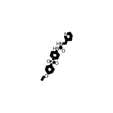 CCOc1ccc(S(=O)(=O)c2ccc(NC(=O)NCc3cccnc3)cc2)cc1